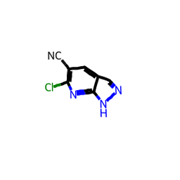 N#Cc1cc2cn[nH]c2nc1Cl